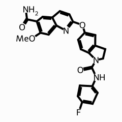 COc1cc2nc(Oc3ccc4c(c3)CCN4C(=O)Nc3ccc(F)cc3)ccc2cc1C(N)=O